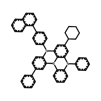 c1ccc(-c2ccc3c(c2)B2c4ccccc4N(c4ccccc4)c4cc(C5CCCCC5)cc(c42)N3c2ccc(-c3cccc4ccccc34)cc2)cc1